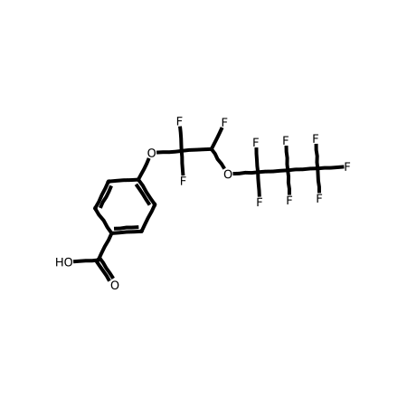 O=C(O)c1ccc(OC(F)(F)C(F)OC(F)(F)C(F)(F)C(F)(F)F)cc1